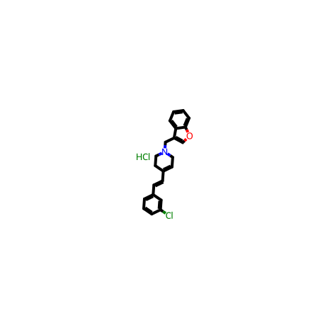 Cl.Clc1cccc(C=CC2=CCN(Cc3coc4ccccc34)CC2)c1